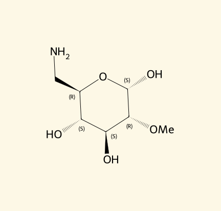 CO[C@@H]1[C@@H](O)[C@H](O)[C@@H](CN)O[C@@H]1O